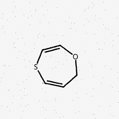 [C]1=CCOC=CS1